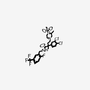 CC1CN(CCC(C)(C(=O)NCc2cc(C(F)(F)F)ccc2F)c2ccc(Cl)c(Cl)c2)CCN1S(C)(=O)=O